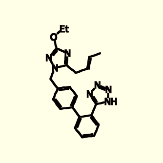 C/C=C/Cc1nc(OCC)nn1Cc1ccc(-c2ccccc2-c2nnn[nH]2)cc1